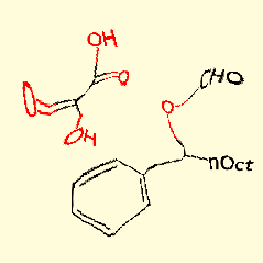 CCCCCCCCC(OC=O)c1ccccc1.O=C(O)C(=O)O